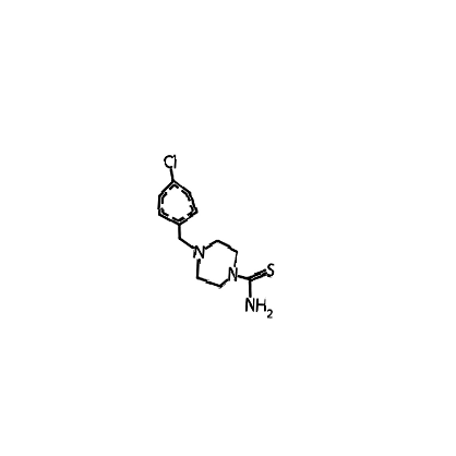 NC(=S)N1CCN(Cc2ccc(Cl)cc2)CC1